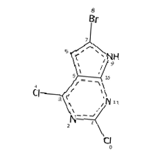 Clc1nc(Cl)c2cc(Br)[nH]c2n1